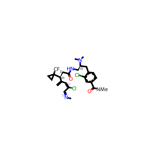 C=C(/C=C(Cl)\C=N/C)[C@H](CC(=O)NC[C@H](Cc1ccc(C(=O)NC)cc1Cl)N(C)C)C1(C(F)(F)F)CC1